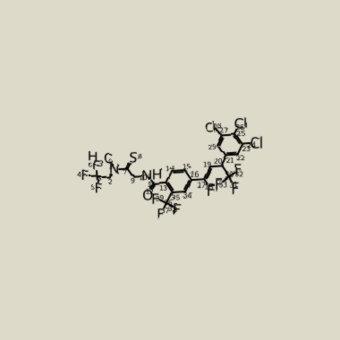 CN(CC(F)(F)F)C(=S)CNC(=O)c1ccc(/C(F)=C/C(c2cc(Cl)c(Cl)c(Cl)c2)C(F)(F)F)cc1C(F)(F)F